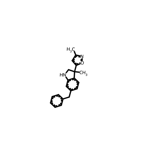 Cc1cc(C2(C)CNc3cc(Cc4ccccc4)ccc32)on1